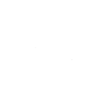 SCCCCCCCCCCCOCCOCCOCCOCC1CO1